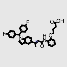 C/C(=C\C(=O)Nc1ccccc1OCCCC(=O)O)c1ccc2c(ccn2C(c2ccc(F)cc2)c2ccc(F)cc2)c1